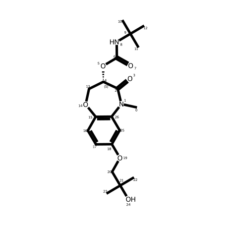 CN1C(=O)[C@@H](OC(=O)NC(C)(C)C)COc2ccc(OCC(C)(C)O)cc21